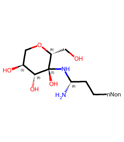 CCCCCCCCCCC[C@H](N)N[C@]1(O)[C@H](O)[C@@H](O)CO[C@@H]1CO